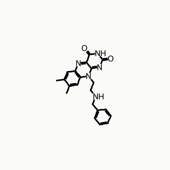 Cc1cc2nc3c(=O)[nH]c(=O)nc-3n(CCNCc3ccccc3)c2cc1C